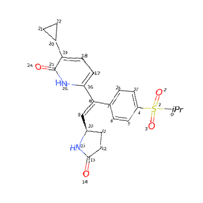 CC(C)S(=O)(=O)c1ccc(/C(=C\[C@H]2CCC(=O)N2)c2ccc(C3CC3)c(=O)[nH]2)cc1